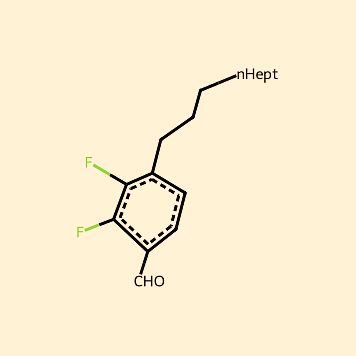 CCCCCCCCCCc1ccc(C=O)c(F)c1F